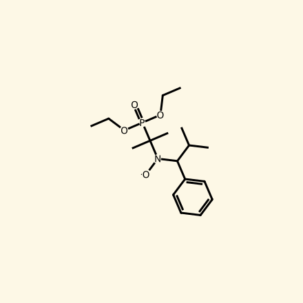 CCOP(=O)(OCC)C(C)(C)N([O])C(c1ccccc1)C(C)C